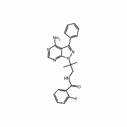 CC(C)(CNC(=O)c1ccccc1F)n1nc(-c2ccccc2)c2c(N)ncnc21